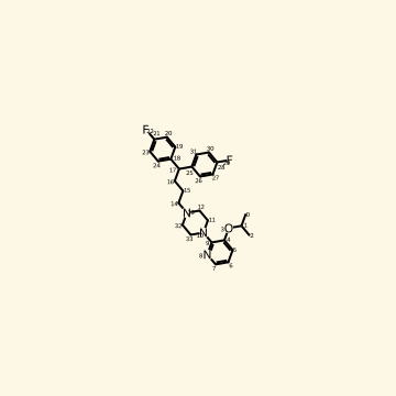 CC(C)Oc1cccnc1N1CCN(CCCC(c2ccc(F)cc2)c2ccc(F)cc2)CC1